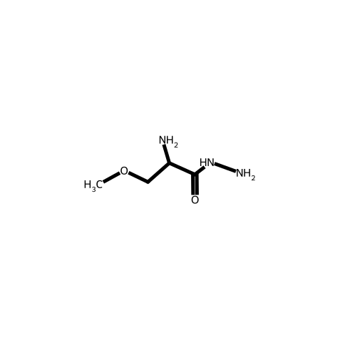 COCC(N)C(=O)NN